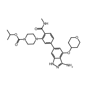 CNC(=O)c1ccc(-c2cc(OC3CCOCC3)c3c(N)n[nH]c3c2)cc1N1CCN(C(=O)OC(C)C)CC1